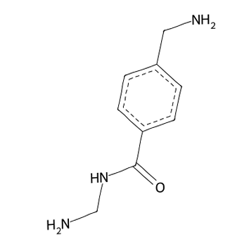 NCNC(=O)c1ccc(CN)cc1